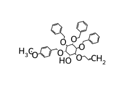 C=CCO[C@H]1[C@H](O)[C@H](OCc2ccc(OC)cc2)[C@@H](OCc2ccccc2)[C@H](OCc2ccccc2)[C@H]1OCc1ccccc1